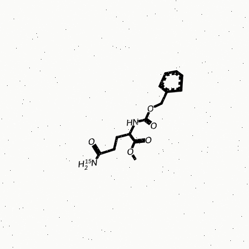 COC(=O)C(CCC([15NH2])=O)NC(=O)OCc1ccccc1